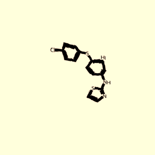 Clc1ccc(Sc2ccc(Nc3nccs3)cc2)cc1.I